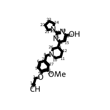 C#CCOc1ccc(CN2CCCC(c3cc(O)nc(N4CCCC4)n3)C2)cc1OC